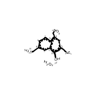 O.O=[N+]([O-])c1cc([N+](=O)[O-])c2ccc(S(=O)(=O)O)cc2c1O